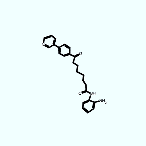 Nc1ccccc1NC(=O)CCCCCCC(=O)c1ccc(-c2cccnc2)cc1